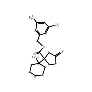 O=C1CCC(C(=O)NCc2cc(C(F)(F)F)cc(C(F)(F)F)c2)(C2(O)CCCCC2)C1